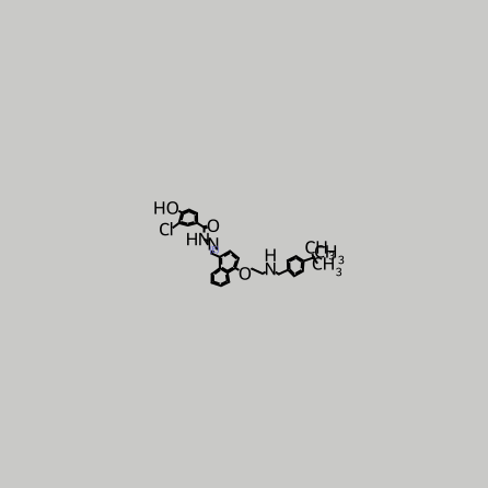 CC(C)(C)c1ccc(CNCCOc2ccc(/C=N/NC(=O)c3ccc(O)c(Cl)c3)c3ccccc23)cc1